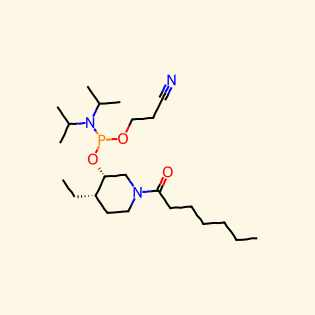 CCCCCCC(=O)N1CC[C@H](CC)[C@H](OP(OCCC#N)N(C(C)C)C(C)C)C1